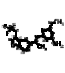 CSc1cc(N)nc(SC(C)c2cc3c(CC(F)(F)F)coc3cn2)n1